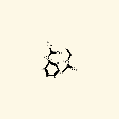 CCOC(C)=O.[O]C(=O)Oc1ccccc1